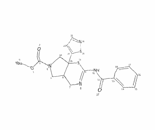 CC(C)(C)OC(=O)N1CC2CN=C(NC(=O)c3ccccc3)SC2(c2ccns2)C1